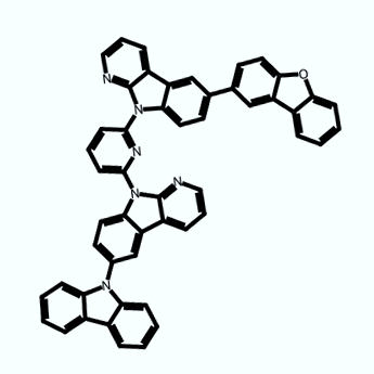 c1cc(-n2c3ccc(-c4ccc5oc6ccccc6c5c4)cc3c3cccnc32)nc(-n2c3ccc(-n4c5ccccc5c5ccccc54)cc3c3cccnc32)c1